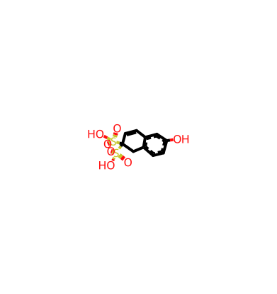 O=S(=O)(O)C1(S(=O)(=O)O)C=Cc2cc(O)ccc2C1